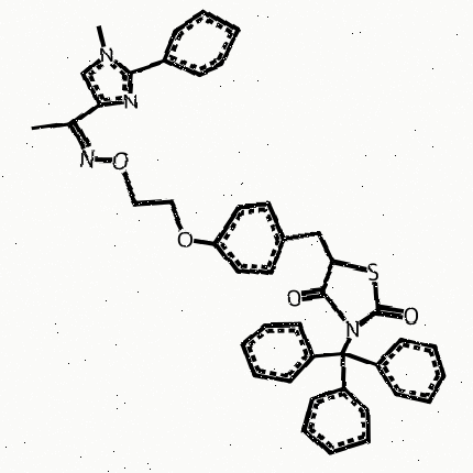 CC(=NOCCOc1ccc(CC2SC(=O)N(C(c3ccccc3)(c3ccccc3)c3ccccc3)C2=O)cc1)c1cn(C)c(-c2ccccc2)n1